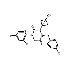 O=C1C(C23CC(O)(C2)C3)N(Cc2ccc(Cl)cc2)C(=O)CN1c1ncc(Cl)cc1F